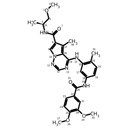 COC[C@H](C)NC(=O)c1cn2ncnc(Nc3cc(NC(=O)c4ccc(OC)c(OC)c4)ccc3C)c2c1C